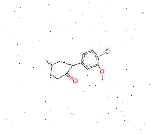 COc1cc(C2CC(C)CCC2=O)ccc1Cl